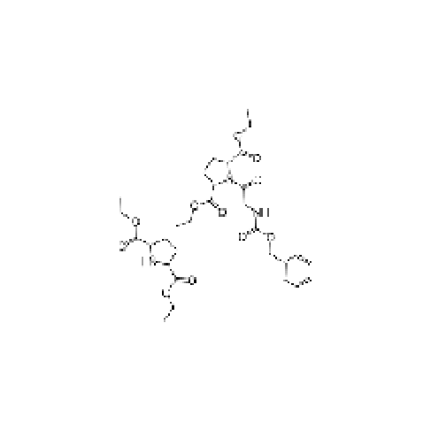 CCOC(=O)C1CCC(C(=O)OCC)N1.CCOC(=O)C1CCC(C(=O)OCC)N1C(=O)CNC(=O)OCc1ccccc1